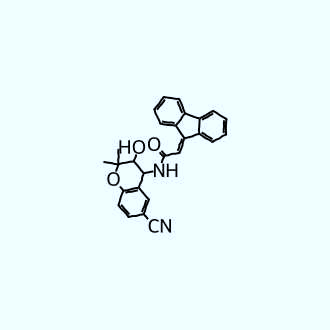 CC1(C)Oc2ccc(C#N)cc2C(NC(=O)C=C2c3ccccc3-c3ccccc32)C1O